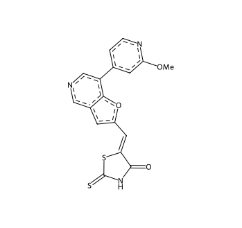 COc1cc(-c2cncc3cc(/C=C4\SC(=S)NC4=O)oc23)ccn1